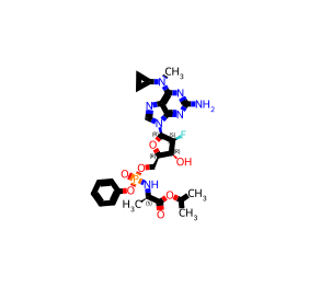 CC(C)OC(=O)[C@H](C)NP(=O)(OC[C@H]1O[C@@H](n2cnc3c(N(C)C4CC4)nc(N)nc32)[C@@H](F)[C@@H]1O)Oc1ccccc1